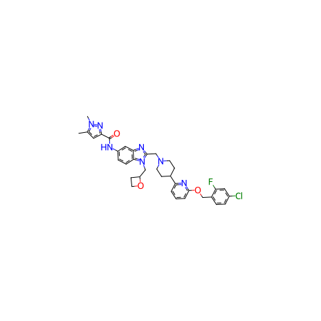 Cc1cc(C(=O)Nc2ccc3c(c2)nc(CN2CCC(c4cccc(OCc5ccc(Cl)cc5F)n4)CC2)n3CC2CCO2)nn1C